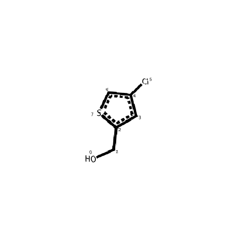 OCc1cc(Cl)cs1